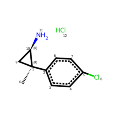 C[C@]1(c2ccc(Cl)cc2)C[C@H]1N.Cl